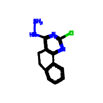 NNc1nc(Cl)nc2c1CCc1ccccc1-2